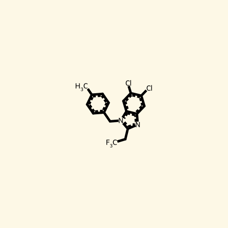 Cc1ccc(Cn2c(CC(F)(F)F)nc3cc(Cl)c(Cl)cc32)cc1